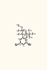 FCC(F)(F)C(F)(c1cc(Br)[c]c(Br)c1)C(F)(F)C(F)(F)F